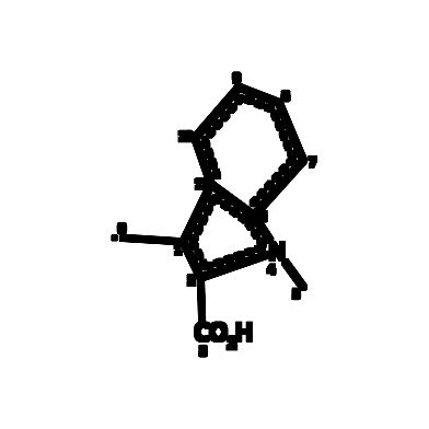 [CH2]c1c(C(=O)O)n(C)c2ccccc12